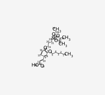 CCCCCCOc1cc(C=CC(=O)O)ccc1OCCCC[Si](OCC)(OCC)OCC